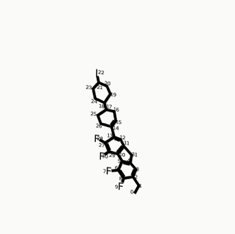 CCc1cc2c(c(F)c1F)-c1c(cc(C3=CCC(C4CCC(I)CC4)CC3)c(F)c1F)C2